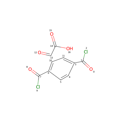 O=C(Cl)c1ccc(C(=O)Cl)cc1.O=CC(=O)O